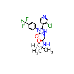 CC(C)(C)NC(=O)Cn1nc(-c2ccncc2Cl)n(-c2ccc(C(F)(F)F)cc2)c1=O